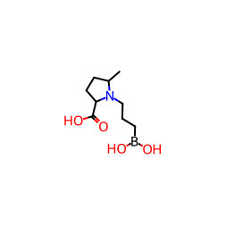 CC1CCC(C(=O)O)N1CCCB(O)O